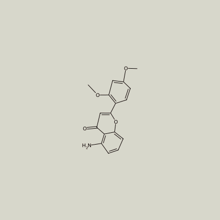 COc1ccc(-c2cc(=O)c3c(N)cccc3o2)c(OC)c1